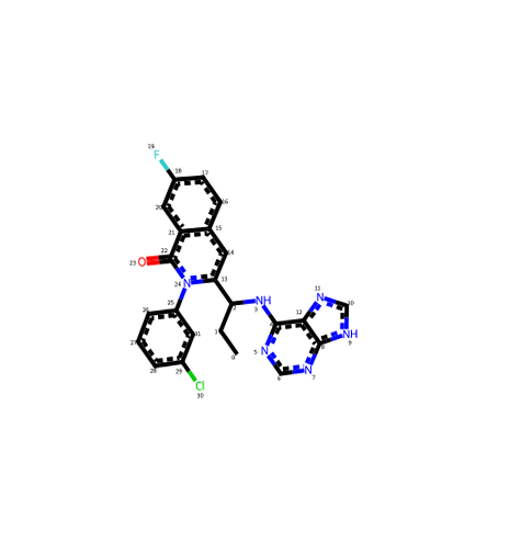 CCC(Nc1ncnc2[nH]cnc12)c1cc2ccc(F)cc2c(=O)n1-c1cccc(Cl)c1